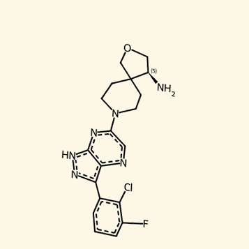 N[C@@H]1COCC12CCN(c1cnc3c(-c4cccc(F)c4Cl)n[nH]c3n1)CC2